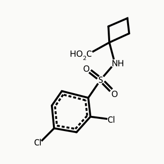 O=C(O)C1(NS(=O)(=O)c2ccc(Cl)cc2Cl)CCC1